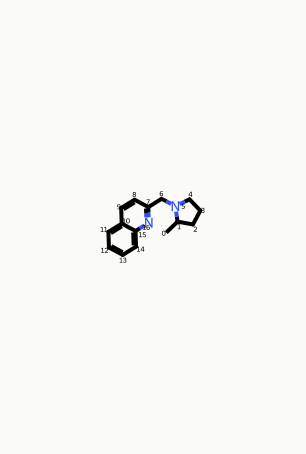 CC1CCCN1Cc1ccc2ccccc2n1